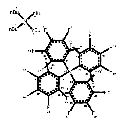 CCCC[N+](CCCC)(CCCC)CCCC.Fc1c(F)c(F)c([B-](c2c(F)c(F)c(F)c(F)c2F)(c2c(F)c(F)c(F)c(F)c2F)c2c(F)c(F)c(F)c(F)c2F)c(F)c1F